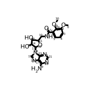 COc1cccc(C(=O)NCC2OC(n3cnc4c(N)ncnc43)C(O)C2O)c1OC